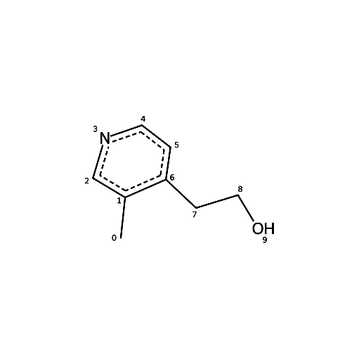 Cc1cnccc1CCO